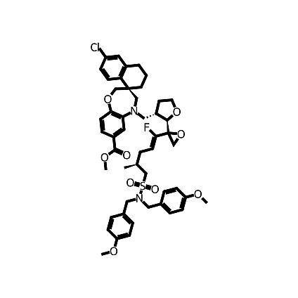 COC(=O)c1ccc2c(c1)N(C[C@@H]1CCO[C@H]1C1(/C(F)=C/C[C@H](C)CS(=O)(=O)N(Cc3ccc(OC)cc3)Cc3ccc(OC)cc3)CO1)C[C@@]1(CCCc3cc(Cl)ccc31)CO2